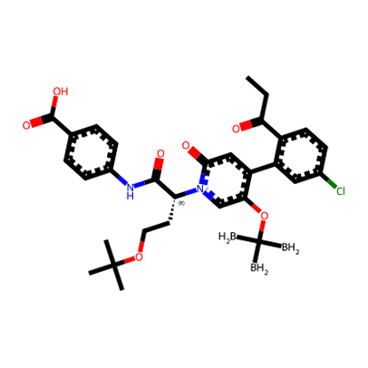 BC(B)(B)Oc1cn([C@H](CCOC(C)(C)C)C(=O)Nc2ccc(C(=O)O)cc2)c(=O)cc1-c1cc(Cl)ccc1C(=O)CC